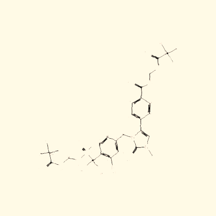 Cn1cc(-c2ccc(C(=O)OCOC(=O)C(C)(C)C)cc2)n(Cc2ccc(C(F)(F)P(=O)(O)OCOC(=O)C(C)(C)C)c(Br)c2)c1=O